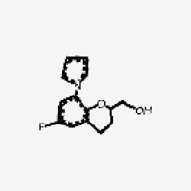 OCC1CCc2cc(F)cc(-n3cccc3)c2O1